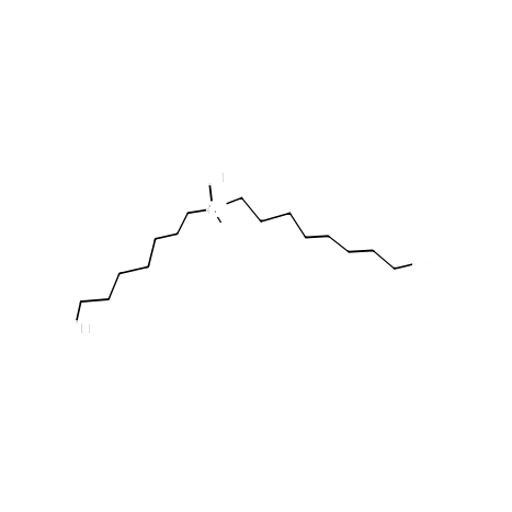 CCCCCCCCC[N+](C)(C)CCCCCCCC.[Cl-]